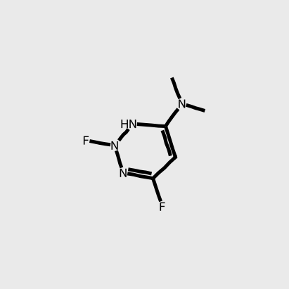 CN(C)C1=CC(F)=NN(F)N1